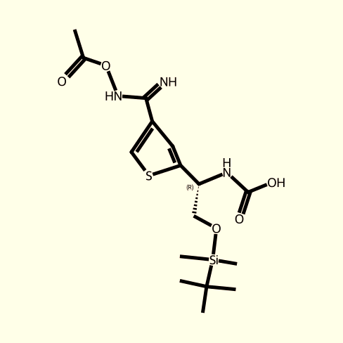 CC(=O)ONC(=N)c1csc([C@@H](CO[Si](C)(C)C(C)(C)C)NC(=O)O)c1